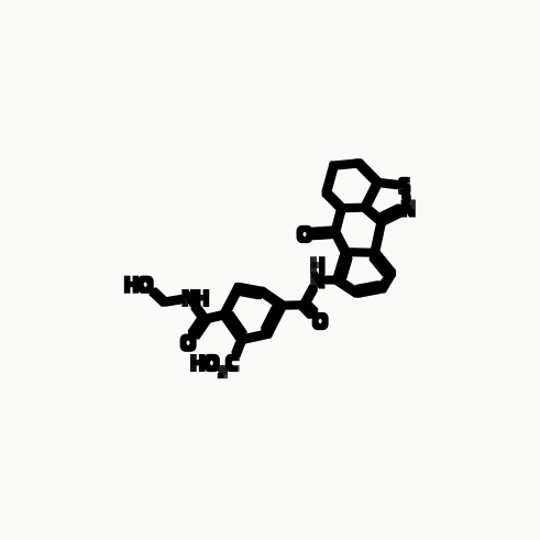 O=C(Nc1cccc2c1C(=O)C1CCCC3SN=C2C31)c1ccc(C(=O)NCO)c(C(=O)O)c1